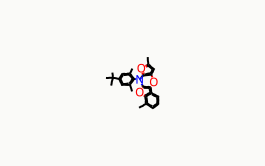 Cc1cc2c(o1)N(c1c(C)cc(C(C)(C)C)cc1C)c1oc3c(C)cccc3c1O2